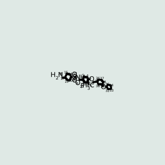 CC(Oc1ccc(C(=O)NS(=O)(=O)c2ccc(CN)cc2)c(F)c1F)c1cccc(OC2CCCC2)c1